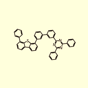 c1ccc(-c2nc(-c3ccccc3)nc(-c3cccc(-c4cccc(-c5cccc6c5sc5c(-c7ccccc7)cccc56)c4)c3)n2)cc1